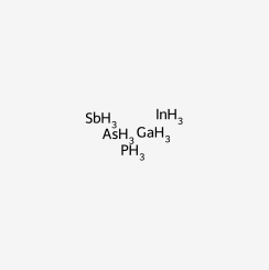 P.[AsH3].[GaH3].[InH3].[SbH3]